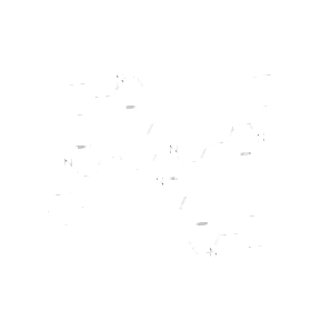 C(=Cc1nc(C=Cc2ccnc(C3CCCCC3)c2)c(C=Cc2ccnc(C3CCCCC3)c2)nc1C=Cc1ccnc(C2CCCCC2)c1)c1ccnc(C2CCCCC2)c1